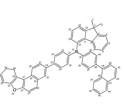 CC1(C)c2ccccc2-c2c(N(c3ccc(-c4ccc5c(ccc6oc7c(c65)CCC=C7)c4)cc3)c3ccc(-c4cccc5ccccc45)cc3)cccc21